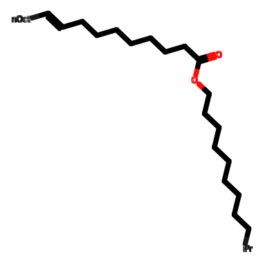 CCCCCCCCC=CCCCCCCCC(=O)OCCCCCCCCCC(C)C